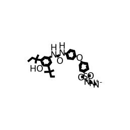 CCC(C)(C)c1cc(NC(=O)Nc2ccc(Oc3ccc(S(=O)(=O)N=[N+]=[N-])cc3)cc2)cc(C(C)(C)CC)c1O